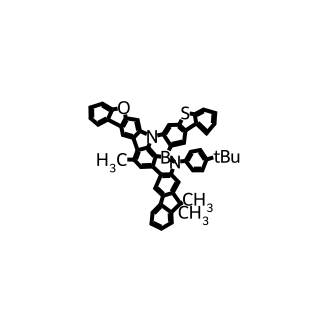 Cc1cc2c3c4c1c1cc5c(cc1n4-c1cc4sc6ccccc6c4cc1B3N(c1ccc(C(C)(C)C)cc1)c1cc3c(cc1-2)-c1ccccc1C3(C)C)oc1ccccc15